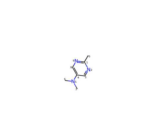 Cc1ncc(N(C)C)cn1